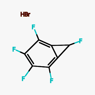 Br.Fc1c(F)c(F)c2c(c1F)C2F